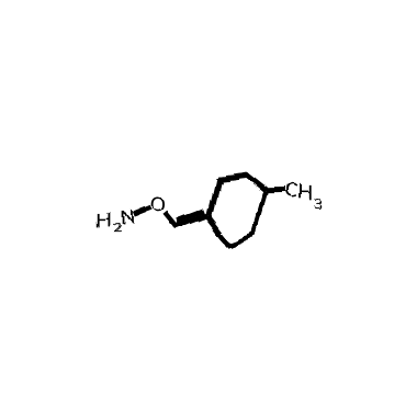 CC1CCC(=CON)CC1